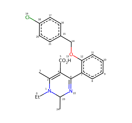 CCN1C(C)=C(C(=O)O)C(c2ccccc2OCc2ccc(Cl)cc2)=NC1C